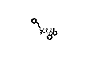 O=C(CP(=O)(O)CCCCc1ccccc1)OC(=O)[C@]1(c2ccccc2)CCCN1